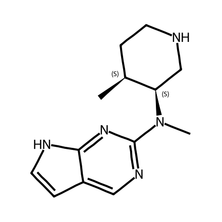 C[C@H]1CCNC[C@H]1N(C)c1ncc2cc[nH]c2n1